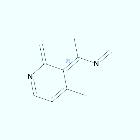 C=N/C(C)=c1\c(C)ccnc1=C